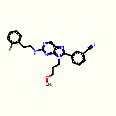 COCCCn1c(-c2cccc(C#N)c2)nc2cnc(NCCc3ccccc3F)nc21